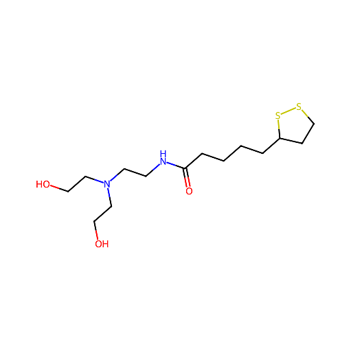 O=C(CCCCC1CCSS1)NCCN(CCO)CCO